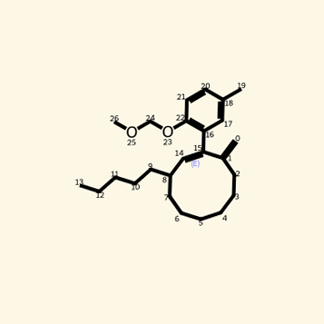 C=C1CCCCCCC(CCCCC)/C=C\1c1cc(C)ccc1OCOC